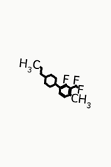 CCCC1CCC(c2ccc(C)c(C(F)F)c2F)CC1